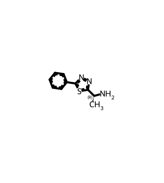 C[C@@H](N)c1nnc(-c2ccccc2)s1